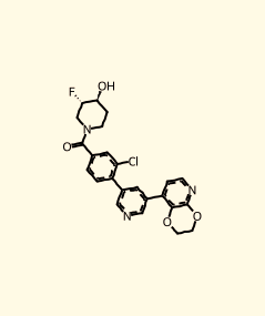 O=C(c1ccc(-c2cncc(-c3ccnc4c3OCCO4)c2)c(Cl)c1)N1CC[C@H](O)[C@@H](F)C1